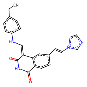 N#CCc1ccc(NC=C2C(=O)NC(=O)c3ccc(C=Cn4ccnc4)cc32)cc1